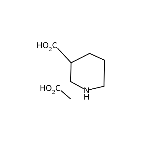 CC(=O)O.O=C(O)C1CCCNC1